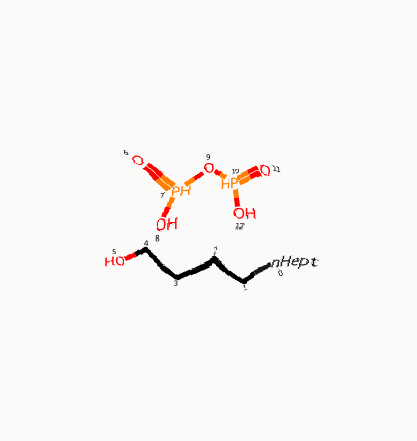 CCCCCCCCCCCO.O=[PH](O)O[PH](=O)O